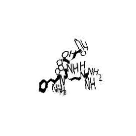 N=C(N)NCCC[C@H](NC(=O)[C@@H](N)Cc1ccccc1)C(=O)N[C@@H](CCC(=O)O)C(=O)O